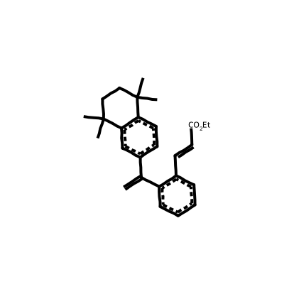 C=C(c1ccc2c(c1)C(C)(C)CCC2(C)C)c1ccccc1C=CC(=O)OCC